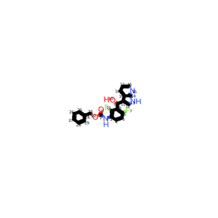 O=C(Nc1ccc(F)c(C(O)c2c[nH]c3ncccc23)c1F)OCc1ccccc1